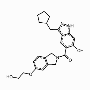 O=C(c1cc2c(CC3CCCC3)n[nH]c2cc1O)N1Cc2ccc(OCCO)cc2C1